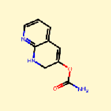 NC(=O)OC1=Cc2cccnc2NC1